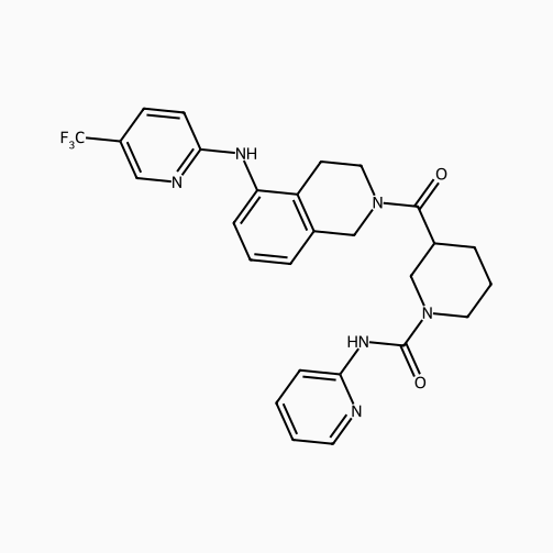 O=C(Nc1ccccn1)N1CCCC(C(=O)N2CCc3c(cccc3Nc3ccc(C(F)(F)F)cn3)C2)C1